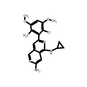 COc1cc(OC)c(Cl)c(-c2cc3cnc(N)cc3c(NC3CC3)n2)c1C